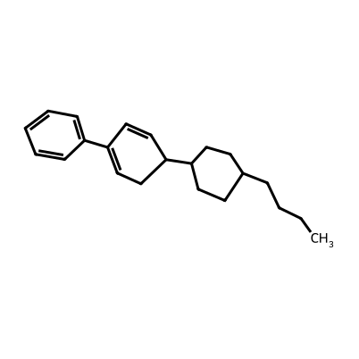 CCCCC1CCC(C2C=CC(c3ccccc3)=CC2)CC1